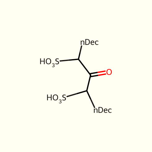 CCCCCCCCCCC(C(=O)C(CCCCCCCCCC)S(=O)(=O)O)S(=O)(=O)O